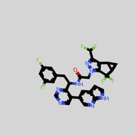 O=C(Cn1nc(C(F)F)c2c1C(F)(F)C1CC21)NC(Cc1cc(F)cc(F)c1)c1ncncc1-c1cnc2[nH]ccc2c1